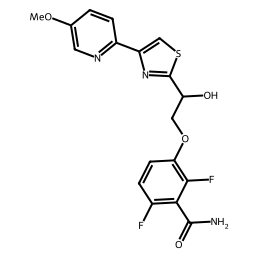 COc1ccc(-c2csc(C(O)COc3ccc(F)c(C(N)=O)c3F)n2)nc1